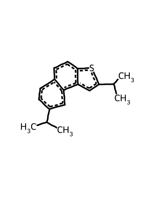 CC(C)c1ccc2ccc3sc(C(C)C)cc3c2c1